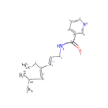 CCC(/C=C/CNC(=O)c1cccnc1)=C\C(C)C